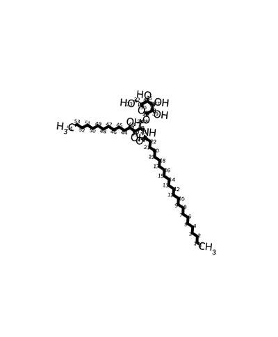 CCCCCCCCCCCCCCCCCCCCCCCC(=O)N[C@@H](CO[C@H]1O[C@H](CO)[C@H](O)[C@H](O)[C@H]1O)[C@H](O)[C@H](O)CCCCCCCCCCC